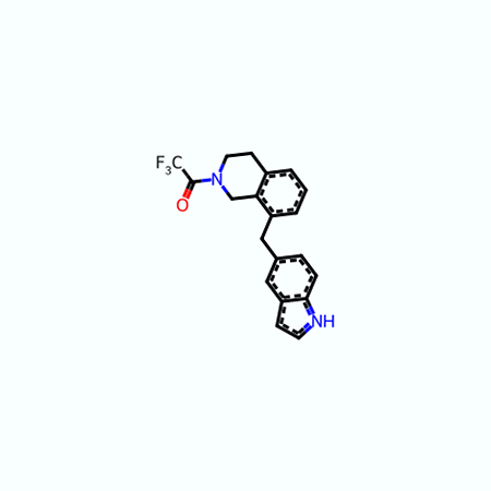 O=C(N1CCc2cccc(Cc3ccc4[nH]ccc4c3)c2C1)C(F)(F)F